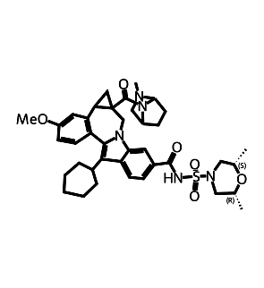 COc1ccc2c(c1)C1CC1(C(=O)N1C3CCC1N(C)C3)Cn1c-2c(C2CCCCC2)c2ccc(C(=O)NS(=O)(=O)N3C[C@@H](C)O[C@@H](C)C3)cc21